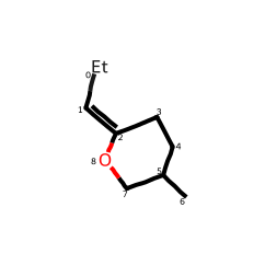 CC/C=C1\CCC(C)CO1